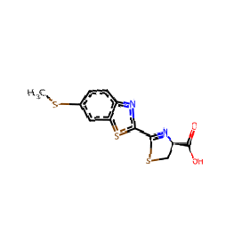 CSc1ccc2nc(C3=N[C@@H](C(=O)O)CS3)sc2c1